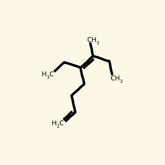 C=CCC/C(CC)=C(/C)CC